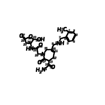 Cc1ccccc1CNCC1=CCC(C(N)=O)C(=O)N(CC(=O)NC2CC(=O)OC2O)C1